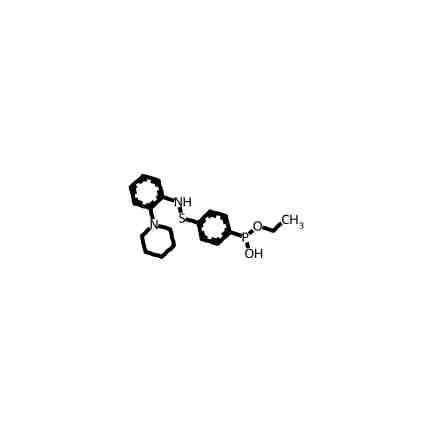 CCOP(O)c1ccc(SNc2ccccc2N2CCCCC2)cc1